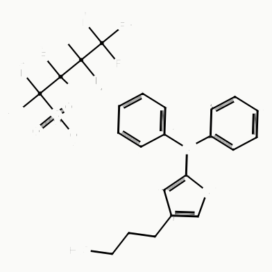 CCCCc1csc([S+](c2ccccc2)c2ccccc2)c1.O=S(=O)([O-])C(F)(F)C(F)(F)C(F)(F)C(F)(F)F